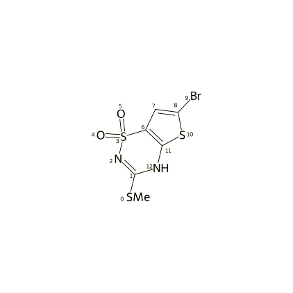 CSC1=NS(=O)(=O)c2cc(Br)sc2N1